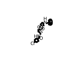 O=C(NCc1ccc(S(=O)(=O)N2CCC(NCC34CC5CC(CC(C5)C3)C4)C2)s1)c1ccc(Cl)cc1